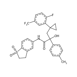 Cc1ccc(C(O)(CC2(c3cc(C(F)(F)F)ccc3F)CC2)C(=O)Nc2ccc3c(c2)CCS3(=O)=O)cc1